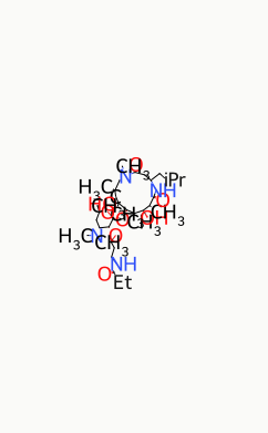 CCC(=O)NCCCO[C@H]1C(O[C@@H]2[C@@H](C)[C@H](O)C(C)C(=O)NC(CC(C)C)CC(=O)N(C)C[C@H](C)CC2(C)O)O[C@H](C)C[C@@H]1N(C)C